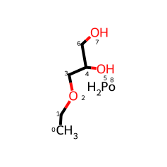 CCOCC(O)CO.[PoH2]